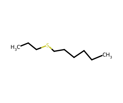 CCCCCCSCCC